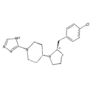 Clc1ccc(C[C@H]2CCCN2C2CCN(c3nnc[nH]3)CC2)cc1